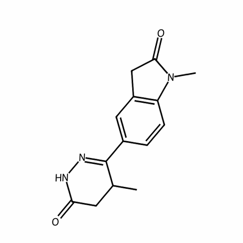 CC1CC(=O)NN=C1c1ccc2c(c1)CC(=O)N2C